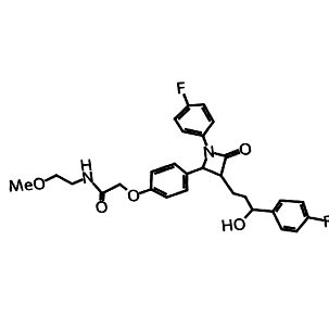 COCCNC(=O)COc1ccc(C2C(CCC(O)c3ccc(F)cc3)C(=O)N2c2ccc(F)cc2)cc1